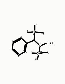 C[Si](C)(C)C(c1ccccc1)N(C(=O)O)[Si](C)(C)C